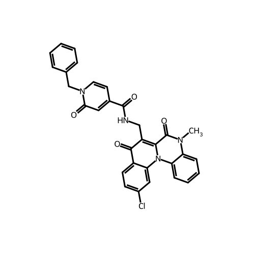 Cn1c(=O)c2c(CNC(=O)c3ccn(Cc4ccccc4)c(=O)c3)c(=O)c3ccc(Cl)cc3n2c2ccccc21